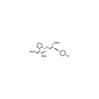 COC/C(C#Cc1ccc(Cl)cc1)=N\OCc1ccccc1/C(=N\OC)C(=O)OC